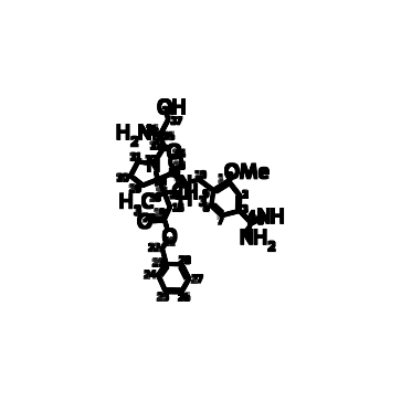 COc1cc(C(=N)N)ccc1CNC(=O)[C@]1(C(C)(C)CC(=O)OCc2ccccc2)CCCN1C(=O)[C@@H](N)CO